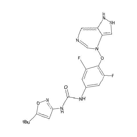 CC(C)(C)c1cc(NC(=O)Nc2cc(F)c(ON3C=NC=C4NNC=C43)c(F)c2)no1